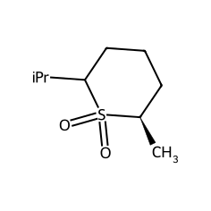 CC(C)C1CCC[C@@H](C)S1(=O)=O